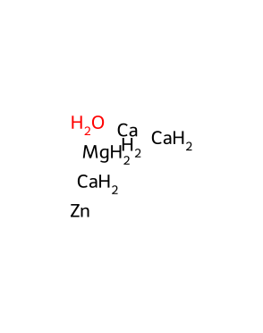 O.[CaH2].[CaH2].[CaH2].[MgH2].[Zn]